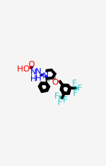 O=C(O)NNCN1CCC[C@@H](OCc2cc(C(F)(F)F)cc(C(F)(F)F)c2)[C@H]1c1ccccc1